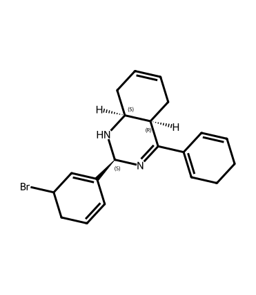 BrC1C=C([C@@H]2N=C(C3=CCCC=C3)[C@@H]3CC=CC[C@@H]3N2)C=CC1